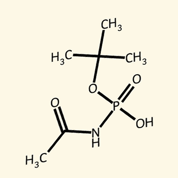 CC(=O)NP(=O)(O)OC(C)(C)C